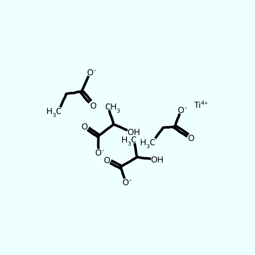 CC(O)C(=O)[O-].CC(O)C(=O)[O-].CCC(=O)[O-].CCC(=O)[O-].[Ti+4]